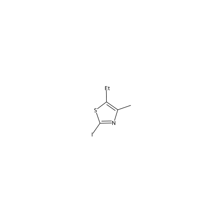 CCc1sc(I)nc1C